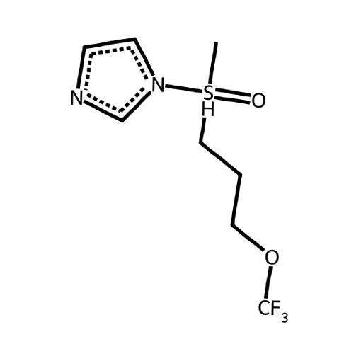 C[SH](=O)(CCCOC(F)(F)F)n1ccnc1